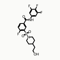 O=C(Nc1cc(F)c(F)c(F)c1)c1ccc(F)c(S(=O)(=O)N2CCC(CCO)CC2)c1